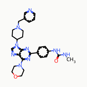 CNC(=O)Nc1ccc(-c2nc(N3CCOCC3)c3ncn(C4CCN(Cc5cccnc5)CC4)c3n2)cc1